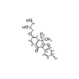 CC1(C)c2cc(OC[C@H](O)CO)ccc2C(=O)c2c1oc1cc(I)ccc21